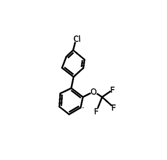 FC(F)(F)Oc1[c]cccc1-c1ccc(Cl)cc1